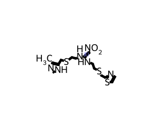 Cc1nc[nH]c1CSCCN/C(=C\[N+](=O)[O-])NCCSCc1nccs1